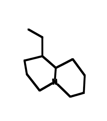 CCC1CCCN2CCCCC12